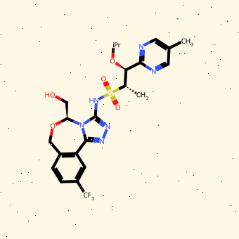 Cc1cnc([C@H](OC(C)C)[C@H](C)S(=O)(=O)Nc2nnc3n2[C@H](CO)OCc2ccc(C(F)(F)F)cc2-3)nc1